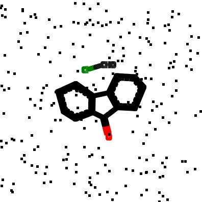 O=C1c2ccccc2-c2ccccc21.O=CCl